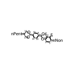 CCCCCCCCCc1ccc(OC(=O)c2ccc(C3OCC(CCCCC)CO3)cc2)c(F)c1F